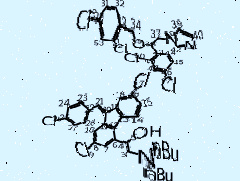 CCCCN(CCCC)CC(O)c1cc(Cl)cc2c1-c1ccc(Cl)cc1/C2=C/c1ccc(Cl)cc1.Clc1ccc(COC(Cn2ccnc2)c2ccc(Cl)cc2Cl)c(Cl)c1